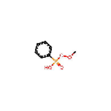 COOP(=O)(O)c1ccccc1